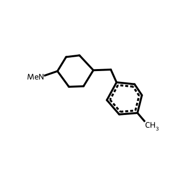 CNC1CCC(Cc2ccc(C)cc2)CC1